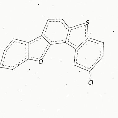 Clc1ccc2sc3ccc4c5ccccc5oc4c3c2c1